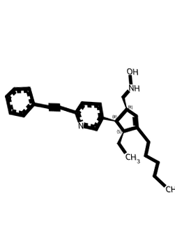 CCCCCC1=C[C@H](CNO)[C@H](c2ccc(C#Cc3ccccc3)nc2)[C@@H]1CC